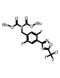 CC(C)(C)OC(=O)N(Cc1cc(F)c(-c2noc(C(F)(F)Cl)n2)cc1F)C(=O)OC(C)(C)C